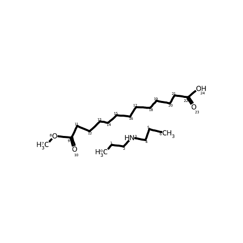 CCCNCCC.COC(=O)CCCCCCCCCCCC(=O)O